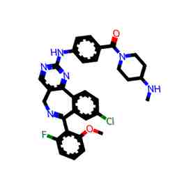 CNC1CCN(C(=O)c2ccc(Nc3ncc4c(n3)-c3ccc(Cl)cc3C(c3c(F)cccc3OC)=NC4)cc2)CC1